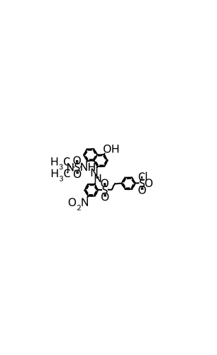 CN(C)S(=O)(=O)Nc1cccc2c(O)ccc(N=Nc3ccc([N+](=O)[O-])cc3S(=O)(=O)CCc3ccc(S(=O)(=O)Cl)cc3)c12